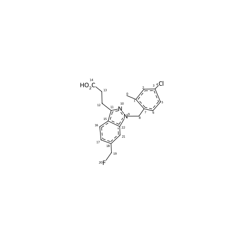 Cc1cc(Cl)ccc1Cn1nc(CCC(=O)O)c2ccc(CF)cc21